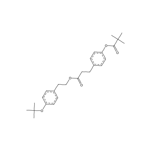 CC(C)(C)Oc1ccc(CCOC(=O)CCc2ccc(OC(=O)C(C)(C)C)cc2)cc1